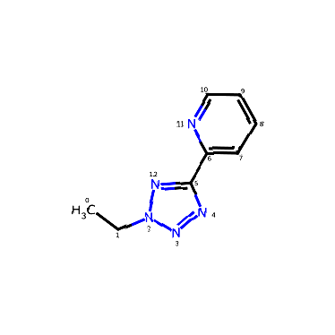 CCn1nnc(-c2ccccn2)n1